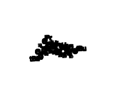 CC(C)O[C@@H]1C[C@@]2(C)[C@@H]3CC[C@H]4C(C)(C)[C@@H](N(C)C(=O)OC(C)(C)C)CC[C@@]45C[C@@]35CC[C@]2(C)[C@H]1[C@H](C)N(C)C(=O)OC(C)(C)C